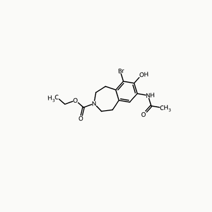 CCOC(=O)N1CCc2cc(NC(C)=O)c(O)c(Br)c2CC1